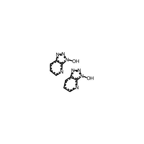 On1nnc2cccnc21.On1nnc2cccnc21